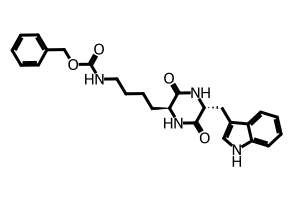 O=C(NCCCC[C@@H]1NC(=O)[C@@H](Cc2c[nH]c3ccccc23)NC1=O)OCc1ccccc1